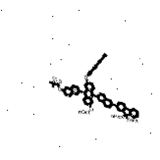 C#CC#CC#CC#COc1ccc2c(-c3ccc4cc(-c5ccc6c(c5)C(CCCCCC)(CCCCCC)c5ccccc5-6)ccc4c3)c3cc(OCCCCCCCC)ccc3c(-c3ccc4cc(OC(=O)C(C)(C)CC)ccc4c3)c2c1